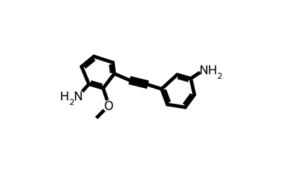 COc1c(N)cccc1C#Cc1cccc(N)c1